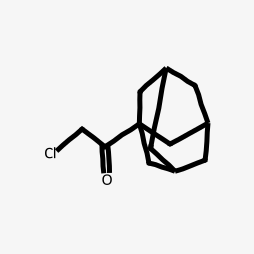 O=C(CCl)C12CC3CC(CC(C3)C1)C2